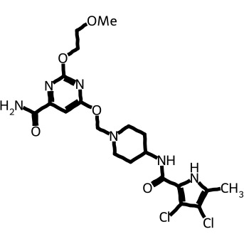 COCCOc1nc(OCN2CCC(NC(=O)c3[nH]c(C)c(Cl)c3Cl)CC2)cc(C(N)=O)n1